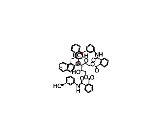 C#Cc1cccc(NC(=O)c2ccccc2C(=O)OCC(O)COc2ccc3ccccc3c2Cc2c(OCC(O)COC(=O)c3ccccc3C(=O)Nc3cccc(C#C)c3)ccc3ccccc23)c1